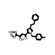 O=C(C=C(O)c1nn[nH]n1)c1cc(CCc2ccccc2)cn1Cc1ccc(F)cc1